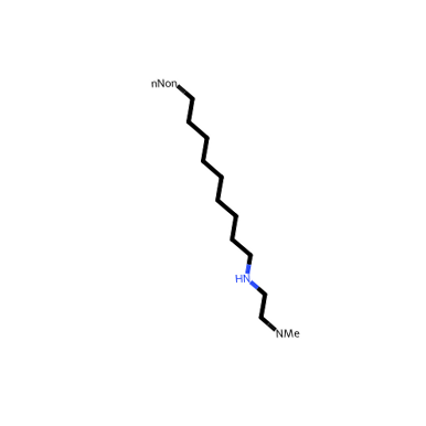 CCCCCCCCCCCCCCCCCCNCCNC